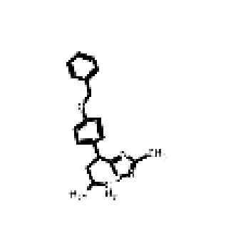 [CH2]C(C)CC(c1ccc(OCc2ccccc2)cc1)c1nc(C)no1